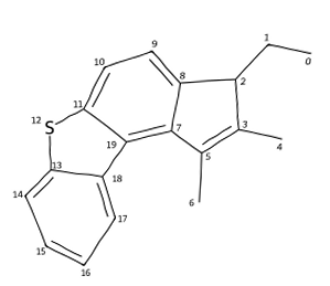 CCC1C(C)=C(C)c2c1ccc1sc3ccccc3c21